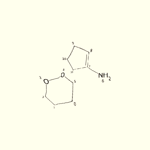 C1CCOOC1.NC1=CCCC1